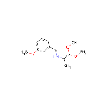 COc1cccc(CNC(C)C(OC)OC)c1